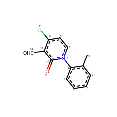 Cc1ccccc1-n1ccc(Cl)c(C=O)c1=O